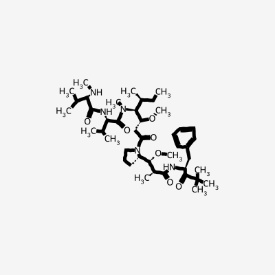 CC[C@H](C)[C@@H]([C@@H](CC(=O)N1CCC[C@H]1[C@H](OC)[C@@H](C)C(=O)N[C@@H](Cc1ccccc1)C(=O)C(C)(C)C)OC)N(C)C(=O)[C@@H](NC(=O)[C@@H](NC)C(C)C)C(C)C